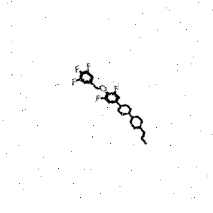 CCCC1CCC(C2CCC(c3cc(F)c(OCc4cc(F)c(F)c(F)c4)c(F)c3)CC2)CC1